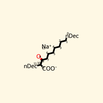 CCCCCCCCCCCCCCCCCC(=O)C(CCCCCCCCCC)C(=O)[O-].[Na+]